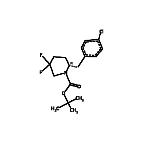 CC(C)(C)OC(=O)N1CC(F)(F)CC[C@@H]1Cc1ccc(Cl)cc1